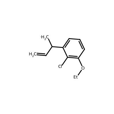 [CH2]C(C=C)c1cccc(OCC)c1Cl